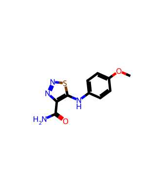 COc1ccc(Nc2snnc2C(N)=O)cc1